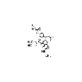 CCNC(=O)Oc1ccc([C@H]2CNCCc3c2cc(OC(=O)NCC)c(OC(=O)NCC)c3Cl)cc1.Cl